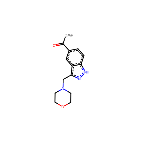 COC(=O)c1ccc2[nH]nc(CN3CCOCC3)c2c1